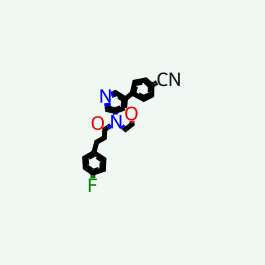 N#Cc1ccc(-c2cncc3c2OCCN3C(=O)CCc2ccc(F)cc2)cc1